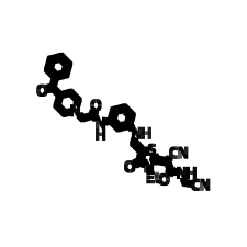 CCn1c(=C(C#N)C(=O)NCC#N)sc(=CNc2cccc(NC(=O)CN3CCC(C(=O)c4ccccc4)CC3)c2)c1=O